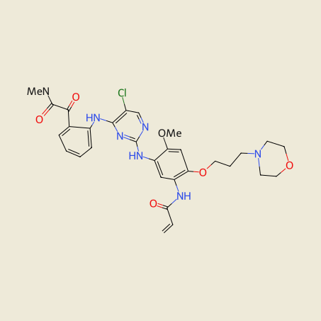 C=CC(=O)Nc1cc(Nc2ncc(Cl)c(Nc3ccccc3C(=O)C(=O)NC)n2)c(OC)cc1OCCCN1CCOCC1